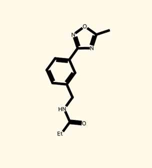 CCC(=O)NCc1cccc(-c2noc(C)n2)c1